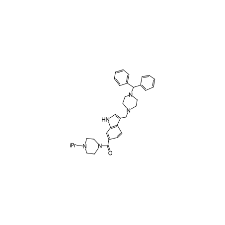 CC(C)N1CCN(C(=O)c2ccc3c(CN4CCN(C(c5ccccc5)c5ccccc5)CC4)c[nH]c3c2)CC1